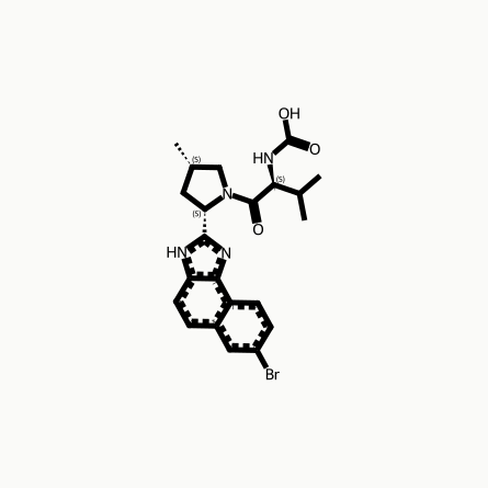 CC(C)[C@H](NC(=O)O)C(=O)N1C[C@@H](C)C[C@H]1c1nc2c(ccc3cc(Br)ccc32)[nH]1